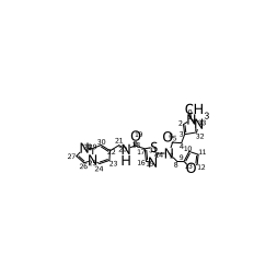 Cn1cc(CC(=O)N(Cc2ccco2)c2ncc(C(=O)NCc3ccn4ccnc4c3)s2)cn1